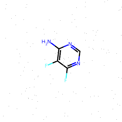 Nc1ncnc(F)c1F